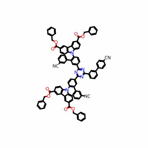 [C-]#[N+]c1cccc(-c2cc(-c3nc(-c4cccc(-c5ccc(C#N)cc5)c4)nc(-c4ccc(-n5c6ccc(C(=O)OCc7ccccc7)cc6c6cc(C(=O)OCc7ccccc7)ccc65)c(-c5cccc(C#N)c5)c4)n3)ccc2-n2c3ccc(C(=O)OCc4ccccc4)cc3c3cc(C(=O)OCc4ccccc4)ccc32)c1